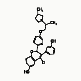 CC1CCN(C(C)COc2ccc(C3Oc4ccc(O)cc4C(Cl)=C3c3cccc(O)c3)cc2)C1